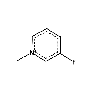 C[n+]1cccc(F)c1